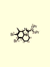 CCCN(CCC)C1=NC2C(C)=C(Br)C(Br)=C3CCCN1C32